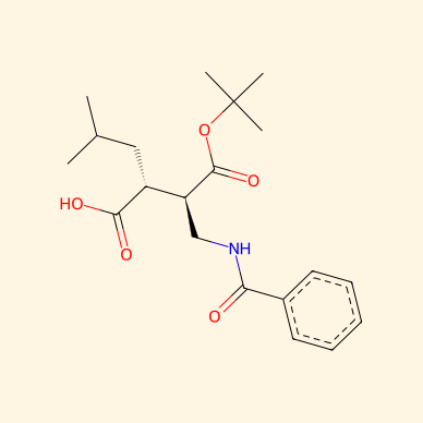 CC(C)C[C@@H](C(=O)O)[C@H](CNC(=O)c1ccccc1)C(=O)OC(C)(C)C